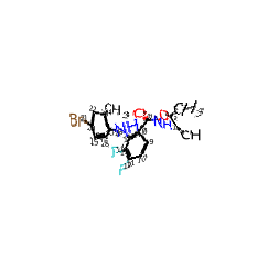 C#CC(C)ONC(=O)c1ccc(F)c(F)c1Nc1ccc(Br)cc1C